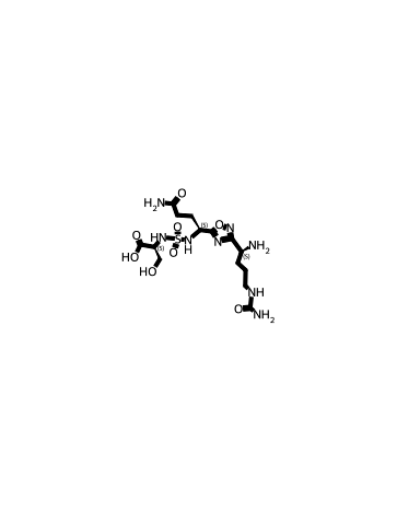 NC(=O)CC[C@H](NS(=O)(=O)N[C@@H](CO)C(=O)O)c1nc([C@@H](N)CCCNC(N)=O)no1